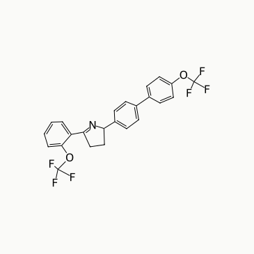 FC(F)(F)Oc1ccc(-c2ccc(C3CCC(c4ccccc4OC(F)(F)F)=N3)cc2)cc1